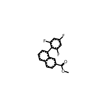 COC(=O)c1ccc2cccc(-c3c(F)cc(F)cc3F)c2c1